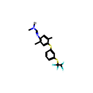 CCN(C)/C=N/c1cc(C)c(Sc2cccc(SC(F)(F)C(F)F)c2)cc1C